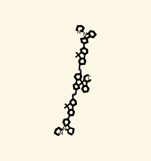 CC1(C)c2cc(/C=C/c3ccc4c(c3)C3(c5ccccc5-c5ccccc53)c3cc(/C=C/c5ccc6c(c5)C(C)(C)c5cc(-c7ccc8c(c7)c7ccccc7n8-c7ccccn7)ccc5-6)ccc3-4)ccc2-c2ccc(-c3ccc4c(c3)C3C=CC=CC3N4c3ccccn3)cc21